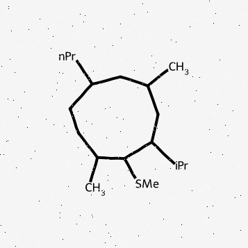 CCCC1CCC(C)C(SC)C(C(C)C)CC(C)C1